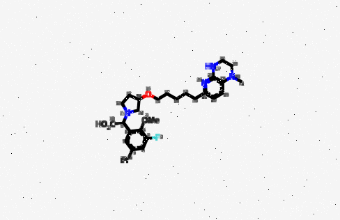 COc1c(F)cc(C(C)C)cc1[C@@H](C(=O)O)N1CC[C@@H](OCCCCCc2ccc3c(n2)NCCN3C)C1